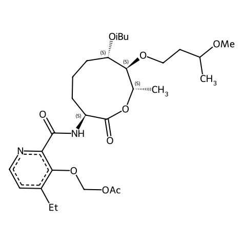 CCc1ccnc(C(=O)N[C@H]2CCC[C@H](OCC(C)C)[C@@H](OCCC(C)OC)[C@H](C)OC2=O)c1OCOC(C)=O